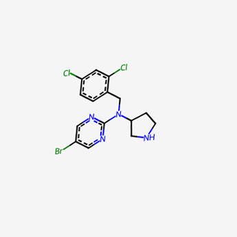 Clc1ccc(CN(c2ncc(Br)cn2)C2CCNC2)c(Cl)c1